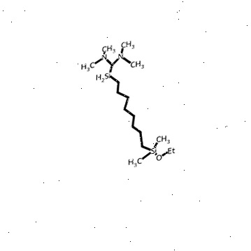 CCO[Si](C)(C)CCCCCCCC[SiH2]C(N(C)C)N(C)C